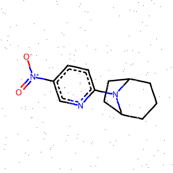 O=[N+]([O-])c1ccc(N2C3CCCC2CC3)nc1